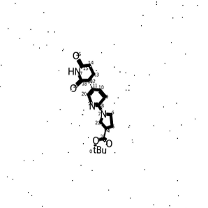 CC(C)(C)OC(=O)[C@@H]1CCN(c2ccc([C@H]3CCC(=O)NC3=O)cn2)C1